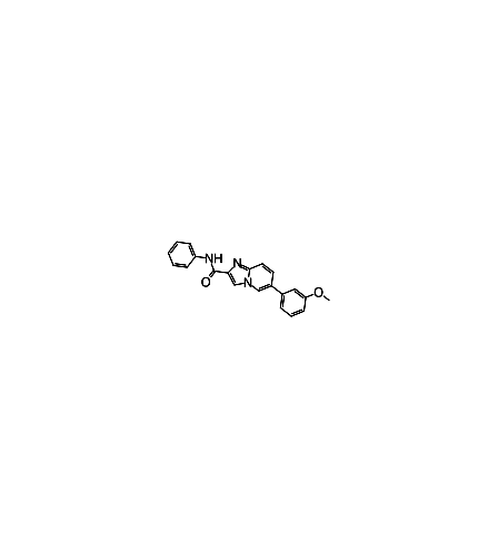 COc1cccc(-c2ccc3nc(C(=O)Nc4ccccc4)cn3c2)c1